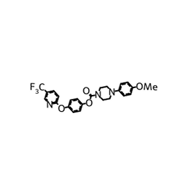 COc1ccc(N2CCN(C(=O)Oc3ccc(Oc4ccc(C(F)(F)F)cn4)cc3)CC2)cc1